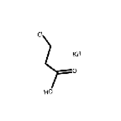 O=C(O)CCCl.[KH]